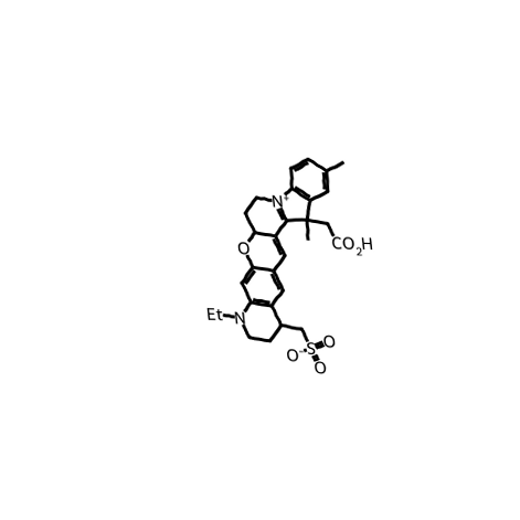 CCN1CCC(CS(=O)(=O)[O-])c2cc3c(cc21)OC1CC[N+]2=C(C1=C3)C(C)(CC(=O)O)c1cc(C)ccc12